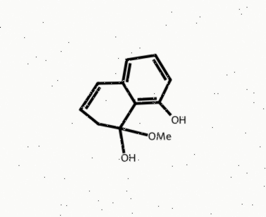 COC1(O)CC=Cc2cccc(O)c21